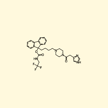 O=C(NCC(F)(F)F)OC1(CCCCN2CCN(C(=O)Cc3c[nH]cn3)CC2)c2ccccc2-c2ccccc21